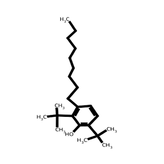 CCCCCCCCCc1ccc(C(C)(C)C)c(O)c1C(C)(C)C